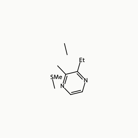 CC.CCc1nccnc1C.CSC